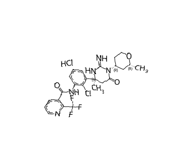 C[C@@H]1C[C@H](N2C(=N)N[C@](C)(c3cccc(NC(=O)c4cccnc4C(F)(F)F)c3Cl)CC2=O)CCO1.Cl